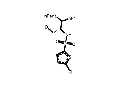 CCCCCC(CCC)[C@@H](CO)NS(=O)(=O)c1ccc(Cl)s1